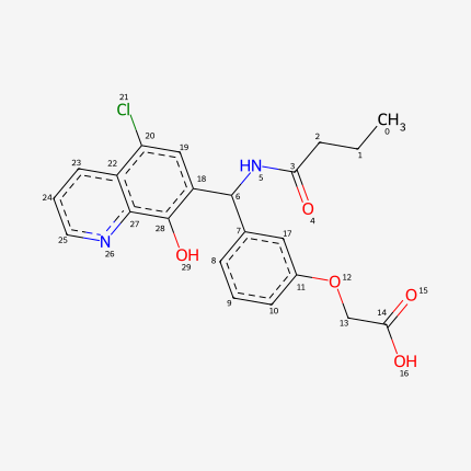 CCCC(=O)NC(c1cccc(OCC(=O)O)c1)c1cc(Cl)c2cccnc2c1O